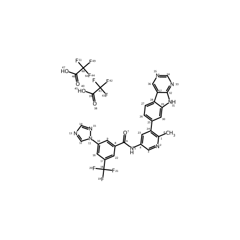 Cc1ncc(NC(=O)c2cc(-n3cncn3)cc(C(F)(F)F)c2)cc1-c1ccc2c(c1)[nH]c1ncncc12.O=C(O)C(F)(F)F.O=C(O)C(F)(F)F